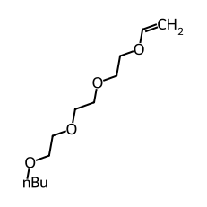 C=COCCOCCOCCOCCCC